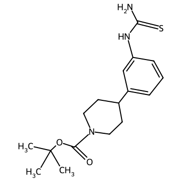 CC(C)(C)OC(=O)N1CCC(c2cccc(NC(N)=S)c2)CC1